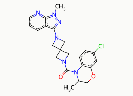 CC1COc2cc(Cl)ccc2N1C(=O)N1CC2(C1)CN(c1nn(C)c3ncccc13)C2